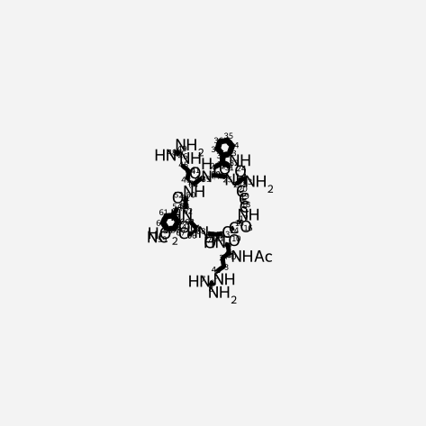 CC(=O)N[C@@H](CCCNC(=N)N)C(=O)N[C@H]1CCC(=O)NCCCC(C(N)=O)NC(=O)[C@H](Cc2c[nH]c3ccccc23)NC(=O)[C@H](CCCNC(=N)N)NC(=O)[C@@H](Cc2ccc(C#N)cc2)NC(=O)[C@H](CC(=O)O)NC1=O